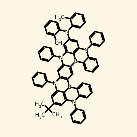 Cc1ccccc1N(c1cc2c3c(c1)N(c1ccccc1)c1cc4c(cc1B3c1ccccc1N2c1ccccc1)B1c2ccccc2N(c2ccccc2)c2cc(C(C)(C)C)cc(c21)N4c1ccccc1)c1ccccc1C